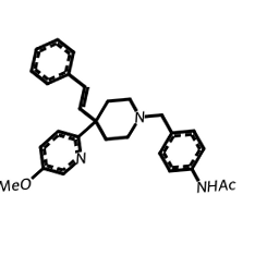 COc1ccc(C2(C=Cc3ccccc3)CCN(Cc3ccc(NC(C)=O)cc3)CC2)nc1